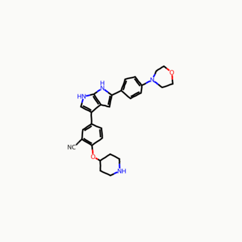 N#Cc1cc(-c2c[nH]c3[nH]c(-c4ccc(N5CCOCC5)cc4)cc23)ccc1OC1CCNCC1